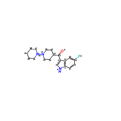 O=C(c1c[nH]c2ccc(F)cc12)C1CCN(N2CCCCC2)CC1